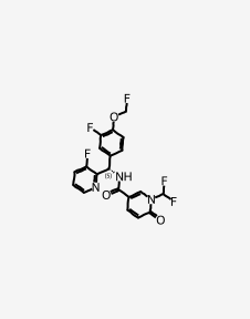 O=C(N[C@@H](c1ccc(OCF)c(F)c1)c1ncccc1F)c1ccc(=O)n(C(F)F)c1